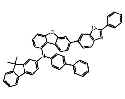 CC1(C)c2ccccc2-c2ccc(N(c3ccc(-c4ccccc4)cc3)c3cccc4oc5cc(-c6ccc7nc(-c8ccccc8)oc7c6)ccc5c34)cc21